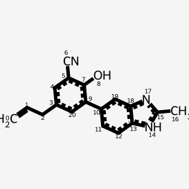 C=CCc1cc(C#N)c(O)c(-c2ccc3[nH]c(C)nc3c2)c1